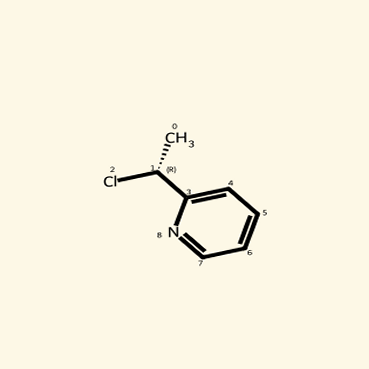 C[C@@H](Cl)c1ccccn1